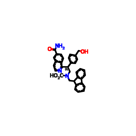 NC(=O)c1ccc2c([C@H](CN(CC3c4ccccc4-c4ccccc43)C(=O)O)c3ccc(CO)cc3)nccc2c1